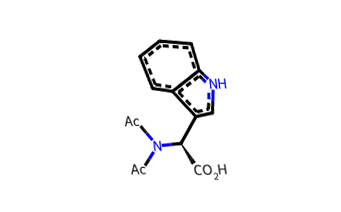 CC(=O)N(C(C)=O)[C@H](C(=O)O)c1c[nH]c2ccccc12